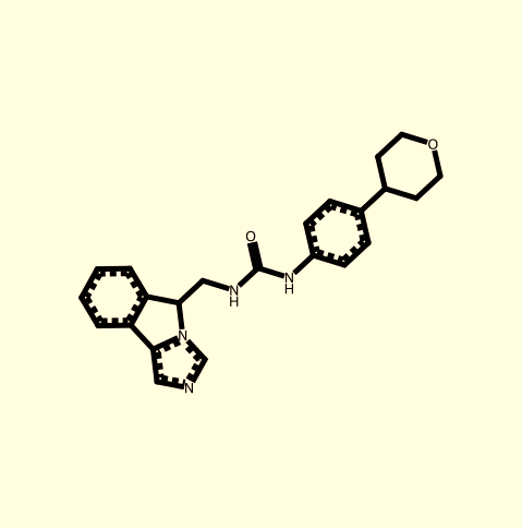 O=C(NCC1c2ccccc2-c2cncn21)Nc1ccc(C2CCOCC2)cc1